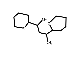 CC(CC([NH])C1CCCCO1)C1CCCCO1